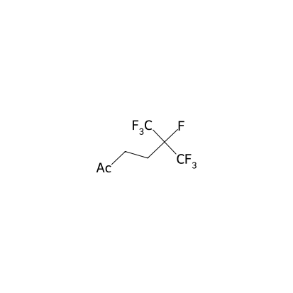 CC(=O)CCC(F)(C(F)(F)F)C(F)(F)F